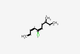 C=C/C=C\C(Cl)=C/CC(C)CC